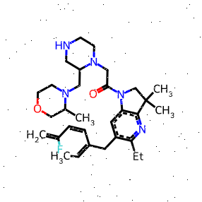 C=C(F)/C=C\C(=C/C)Cc1cc2c(nc1CC)C(C)(C)CN2C(=O)CN1CCNCC1CN1CCOCC1C